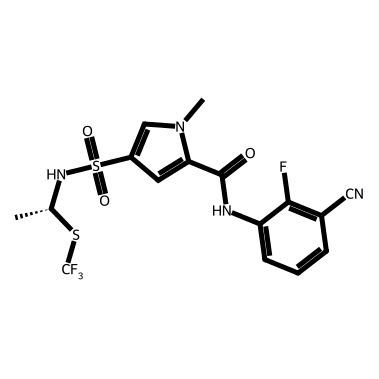 C[C@H](NS(=O)(=O)c1cc(C(=O)Nc2cccc(C#N)c2F)n(C)c1)SC(F)(F)F